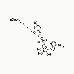 CCCCCCCCCCCCCCCCCCOC[C@@H](COP(=O)(O)OC[C@@]1(C#N)O[C@@H](c2ccc3c(N)ncnn23)[C@H](O)[C@@H]1O)Oc1ccc(C#N)nc1